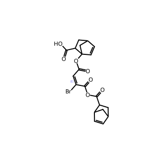 O=C(/C=C(/Br)C(=O)OC(=O)C1CC2C=CC1C2)OC12C=CC(CC1C(=O)O)C2